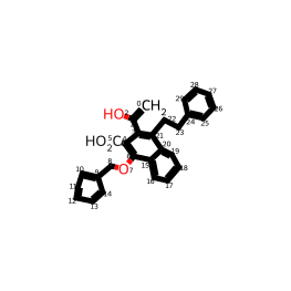 C=C(O)c1c(C(=O)O)c(OCc2ccccc2)c2ccccc2c1CCc1ccccc1